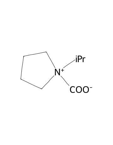 CC(C)[N+]1(C(=O)[O-])CCCC1